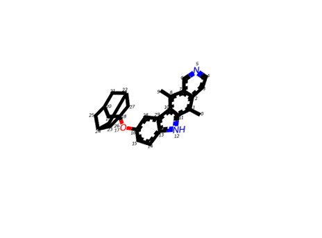 Cc1c2ccncc2c(C)c2c1[nH]c1ccc(OC34CC5CC(CC(C5)C3)C4)cc12